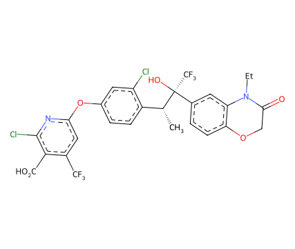 CCN1C(=O)COc2ccc([C@](O)([C@H](C)c3ccc(Oc4cc(C(F)(F)F)c(C(=O)O)c(Cl)n4)cc3Cl)C(F)(F)F)cc21